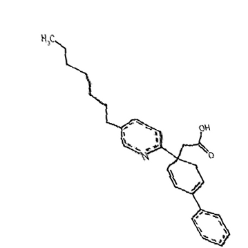 CCCCCCCc1ccc(C2(CC(=O)O)C=CC(c3ccccc3)=CC2)nc1